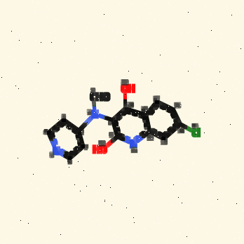 O=CN(c1ccncc1)c1c(O)nc2cc(Cl)ccc2c1O